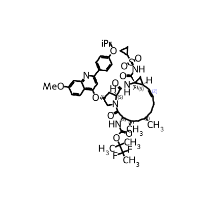 COc1ccc2c(O[C@@H]3C[C@H]4C(=O)N[C@]5(C(=O)NS(=O)(=O)C6CC6)C[C@H]5/C=C\CC[C@@H](C)C[C@@H](C)[C@H](NC(=O)OC(C)(C)C(C)(F)F)C(=O)N4C3)cc(-c3ccc(OC(C)C)cc3)nc2c1